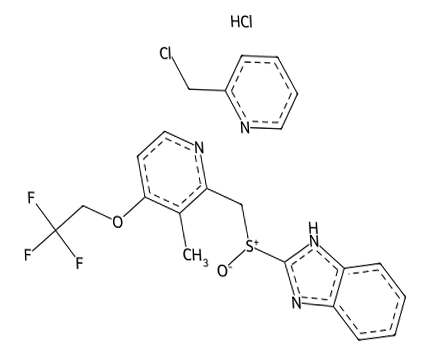 Cc1c(OCC(F)(F)F)ccnc1C[S+]([O-])c1nc2ccccc2[nH]1.Cl.ClCc1ccccn1